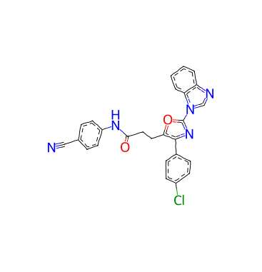 N#Cc1ccc(NC(=O)CCc2oc(-n3cnc4ccccc43)nc2-c2ccc(Cl)cc2)cc1